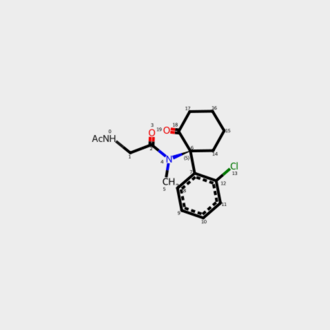 CC(=O)NCC(=O)N(C)[C@]1(c2ccccc2Cl)CCCCC1=O